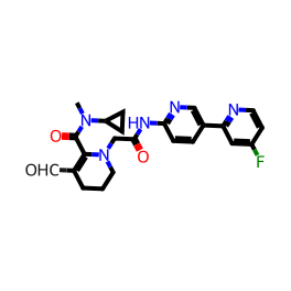 CN(C(=O)C1=C(C=O)CCCN1CC(=O)Nc1ccc(-c2cc(F)ccn2)cn1)C1CC1